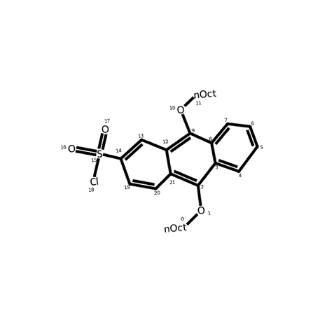 CCCCCCCCOc1c2ccccc2c(OCCCCCCCC)c2cc(S(=O)(=O)Cl)ccc12